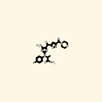 CC(C(N)=O)N(c1ccc(F)cc1)c1nc(N)c(C(=O)c2cc(C(=O)N3CCOCC3)no2)s1